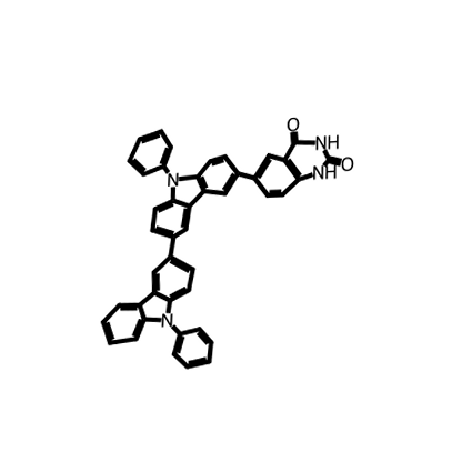 O=c1[nH]c(=O)c2cc(-c3ccc4c(c3)c3cc(-c5ccc6c(c5)c5ccccc5n6-c5ccccc5)ccc3n4-c3ccccc3)ccc2[nH]1